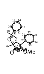 COC(=O)C(CC(C)(OC(C)(C)c1ccccc1)C(=O)OC)c1ccccc1